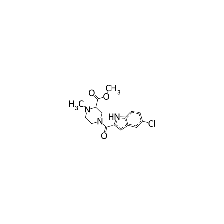 COC(=O)C1CN(C(=O)c2cc3cc(Cl)ccc3[nH]2)CCN1C